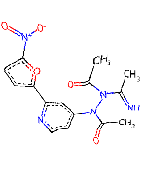 CC(=N)N(C(C)=O)N(C(C)=O)c1ccnc(-c2ccc([N+](=O)[O-])o2)c1